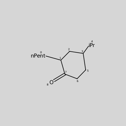 CCCCCC1CC(C(C)C)CCC1=O